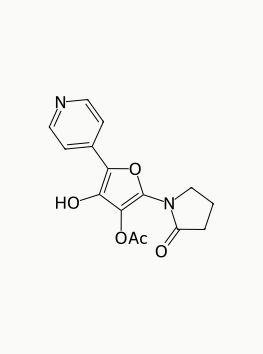 CC(=O)Oc1c(N2CCCC2=O)oc(-c2ccncc2)c1O